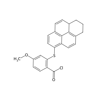 COc1ccc(C(=O)Cl)c(Sc2ccc3c4c5c(ccc24)CCCC5C=C3)c1